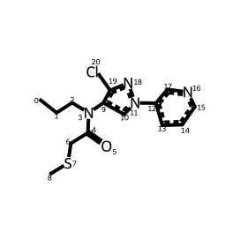 CCCN(C(=O)CSC)c1cn(-c2cccnc2)nc1Cl